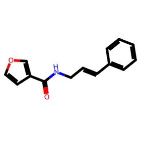 O=C(NC/C=C/c1ccccc1)c1ccoc1